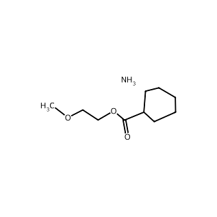 COCCOC(=O)C1CCCCC1.N